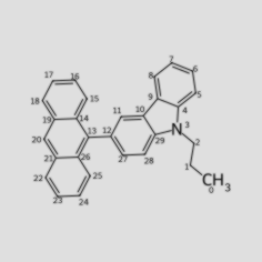 CCCn1c2ccccc2c2cc(-c3c4ccccc4cc4ccccc34)ccc21